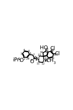 CC(C)Oc1cccc(CC(=O)N2CCN(C)C(CCO)(c3ccc(Cl)c(Cl)c3)C2)c1